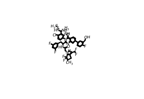 CNc1c(-n2c(C(Cc3cc(F)cc(F)c3)NC(=O)Cn3nc(C(F)F)c4c3C(F)(F)C(C)C4)nc3cc(-c4ccc(F)c(CO)c4)ccc3c2=O)ccc(Cl)c1C(=N)NSC